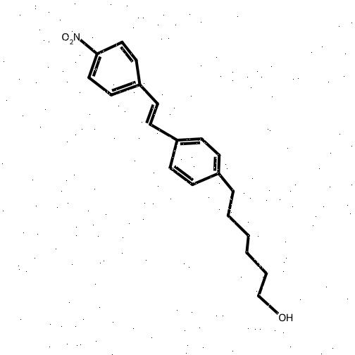 O=[N+]([O-])c1ccc(/C=C/c2ccc(CCCCCCO)cc2)cc1